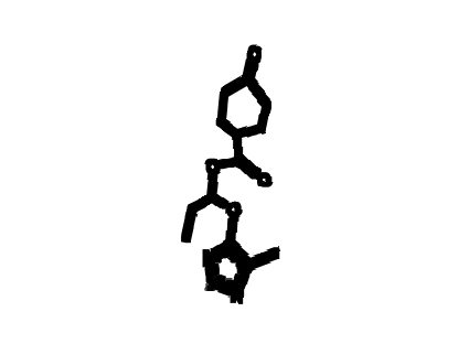 CCC(OC(=O)C1CCC(=O)CC1)Oc1nsnc1C